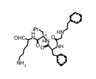 CC(C)C[C@@H](NC(=O)C(Cc1ccccc1)NC(=O)CNCCc1ccccc1)C(=O)NC(C=O)CCCCN